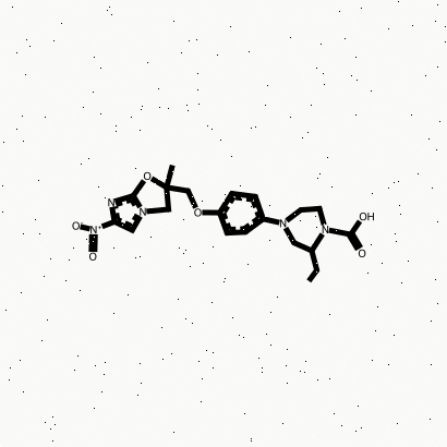 CCC1CN(c2ccc(OCC3(C)Cn4cc([N+](=O)[O-])nc4O3)cc2)CCN1C(=O)O